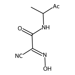 CC(=O)C(C)NC(=O)C(C#N)=NO